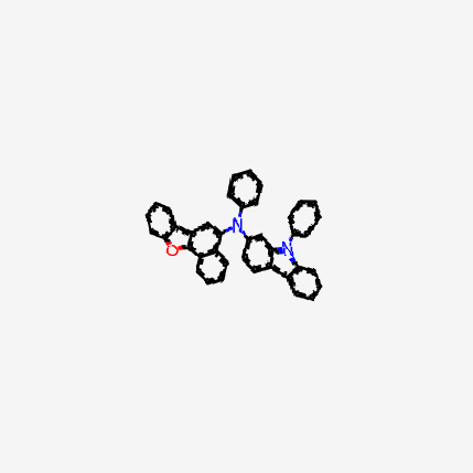 c1ccc(N(c2ccc3c4ccccc4n(-c4ccccc4)c3c2)c2cc3c4ccccc4oc3c3ccccc23)cc1